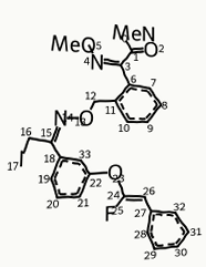 CNC(=O)C(=NOC)c1ccccc1CON=C(CI)c1cccc(OC(F)=Cc2ccccc2)c1